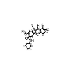 CC(C)Oc1cc2c(cc1C(=O)NC1CCCCC1)nc(Nc1c(Cl)ccc(Cl)c1F)n2C